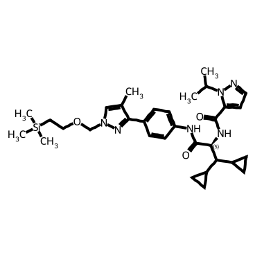 Cc1cn(COCC[Si](C)(C)C)nc1-c1ccc(NC(=O)[C@@H](NC(=O)c2ccnn2C(C)C)C(C2CC2)C2CC2)cc1